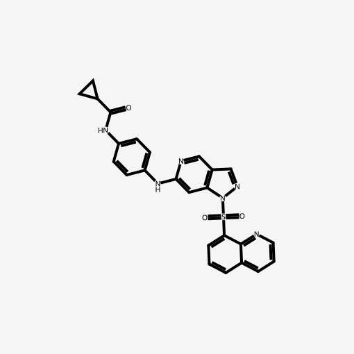 O=C(Nc1ccc(Nc2cc3c(cn2)cnn3S(=O)(=O)c2cccc3cccnc23)cc1)C1CC1